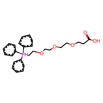 O=C(O)CCOCCOCCOCC[PH](c1ccccc1)(c1ccccc1)c1ccccc1